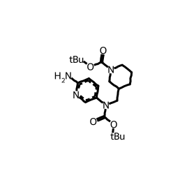 CC(C)(C)OC(=O)N1CCCC(CN(C(=O)OC(C)(C)C)c2ccc(N)nc2)C1